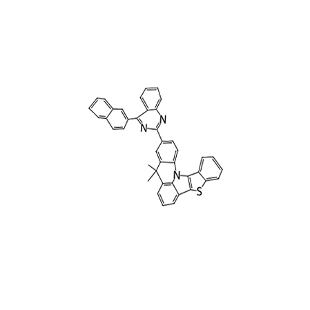 CC1(C)c2cc(-c3nc(-c4ccc5ccccc5c4)c4ccccc4n3)ccc2-n2c3c1cccc3c1sc3ccccc3c12